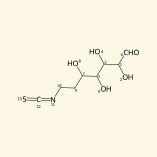 O=CC(O)C(O)C(O)C(O)CCN=C=S